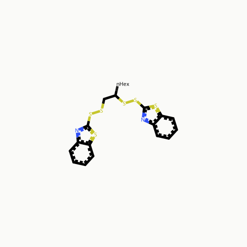 CCCCCCC(CSSc1nc2ccccc2s1)SSc1nc2ccccc2s1